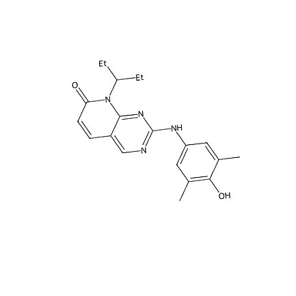 CCC(CC)n1c(=O)ccc2cnc(Nc3cc(C)c(O)c(C)c3)nc21